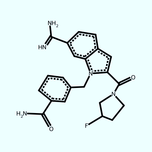 N=C(N)c1ccc2cc(C(=O)N3CCC(F)C3)n(Cc3cccc(C(N)=O)c3)c2c1